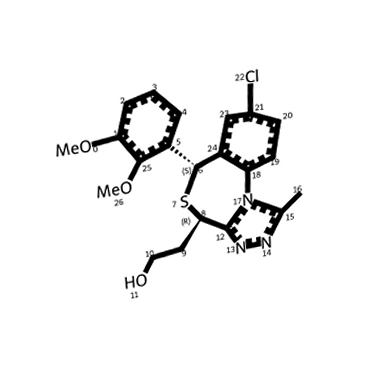 COc1cccc([C@H]2S[C@H](CCO)c3nnc(C)n3-c3ccc(Cl)cc32)c1OC